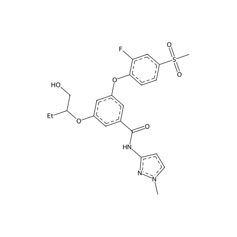 CCC(CO)Oc1cc(Oc2ccc(S(C)(=O)=O)cc2F)cc(C(=O)Nc2ccn(C)n2)c1